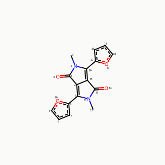 CN1C(=O)C2=C(c3ccco3)N(C)C(=O)C2=C1c1ccco1